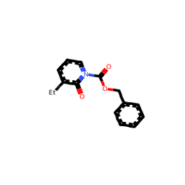 CCc1cccn(C(=O)OCc2ccccc2)c1=O